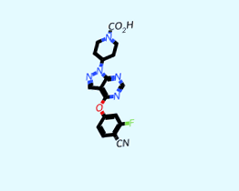 N#Cc1ccc(Oc2ncnc3c2cnn3C2CCN(C(=O)O)CC2)cc1F